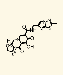 Cc1nn2cc(CNC(=O)c3cn4c(c(O)c3=O)C(=O)N3[C@@H](C)CO[C@@H]3C4)nc2s1